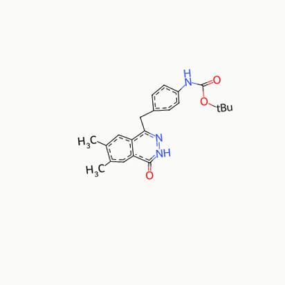 Cc1cc2c(Cc3ccc(NC(=O)OC(C)(C)C)cc3)n[nH]c(=O)c2cc1C